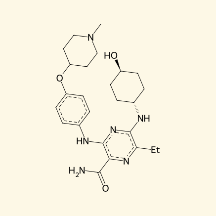 CCc1nc(C(N)=O)c(Nc2ccc(OC3CCN(C)CC3)cc2)nc1N[C@H]1CC[C@H](O)CC1